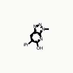 CC(C)c1cc2nnn(C)c2nc1O